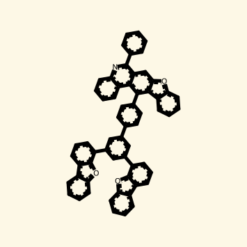 c1ccc(-c2nc3ccccc3c3c(-c4ccc(-c5cc(-c6cccc7c6oc6ccccc67)cc(-c6cccc7c6oc6ccccc67)c5)cc4)c4c(cc23)oc2ccccc24)cc1